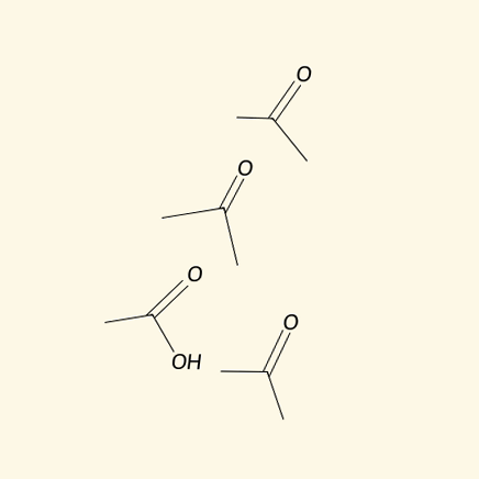 CC(=O)O.CC(C)=O.CC(C)=O.CC(C)=O